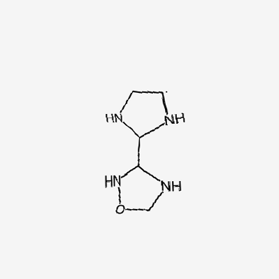 [CH]1CNC(C2NCON2)N1